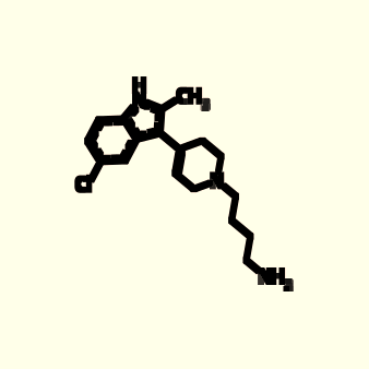 Cc1[nH]c2ccc(Cl)cc2c1C1=CCN(CCCCN)CC1